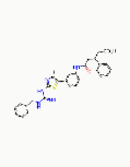 Cc1nc(NC(=N)NCc2ccccc2)sc1-c1cccc(NC(=O)CC(CC(=O)O)c2ccccc2)c1